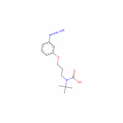 CC(C)(C)N(CCCOc1cccc(N=[N+]=[N-])c1)C(=O)O